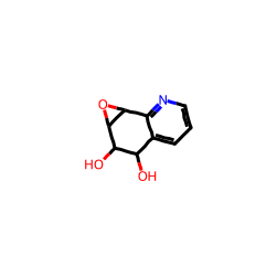 OC1c2cccnc2C2OC2C1O